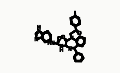 Cc1ccc(C(=O)CN2C(=O)C(NC(=O)Nc3ccc4[nH]cnc4c3)N=C(c3ccccc3)c3ccccc32)cc1